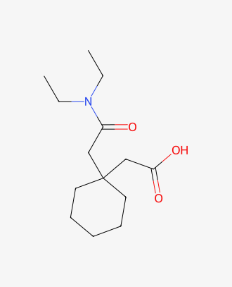 CCN(CC)C(=O)CC1(CC(=O)O)CCCCC1